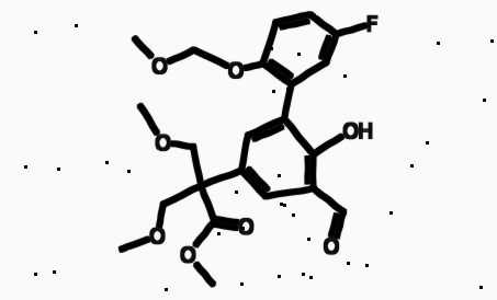 COCOc1ccc(F)cc1-c1cc(C(COC)(COC)C(=O)OC)cc(C=O)c1O